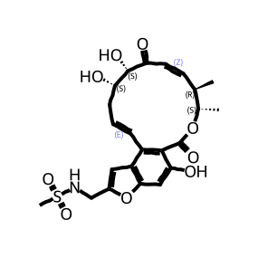 C[C@@H]1/C=C\C(=O)[C@@H](O)[C@@H](O)C/C=C/c2c(c(O)cc3oc(CNS(C)(=O)=O)cc23)C(=O)O[C@H]1C